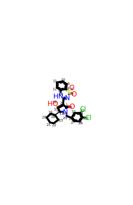 O=C1C(C2=NS(=O)(=O)c3ccccc3N2)=C(O)[C@H](C2CCCCC2)N1Cc1ccc(Cl)c(Cl)c1